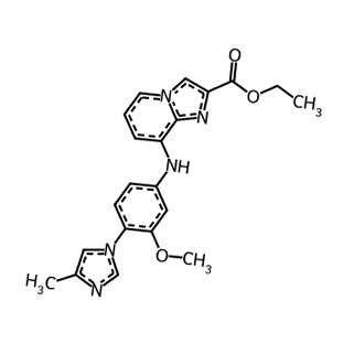 CCOC(=O)c1cn2cccc(Nc3ccc(-n4cnc(C)c4)c(OC)c3)c2n1